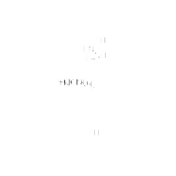 CCCCCCCCCCCCCCCC(=O)NC(N)CC.Cl.Cl.Cl.N.N